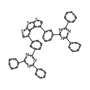 c1ccc(-c2nc(-c3ccccc3)nc(-c3cccc(-c4csc5sc6scc(-c7cccc(-c8nc(-c9ccccc9)nc(-c9ccccc9)n8)c7)c6c45)c3)n2)cc1